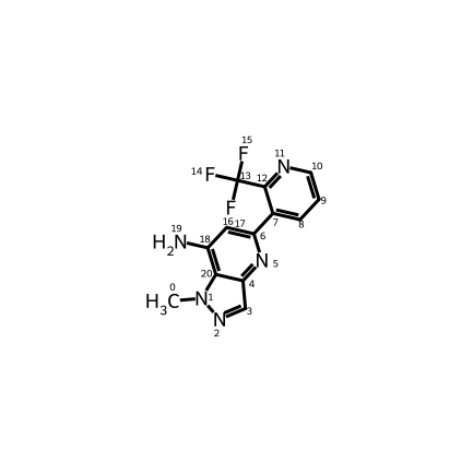 Cn1ncc2nc(-c3cccnc3C(F)(F)F)cc(N)c21